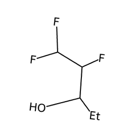 CCC(O)C(F)C(F)F